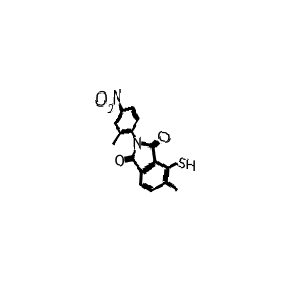 Cc1cc([N+](=O)[O-])ccc1N1C(=O)c2ccc(C)c(S)c2C1=O